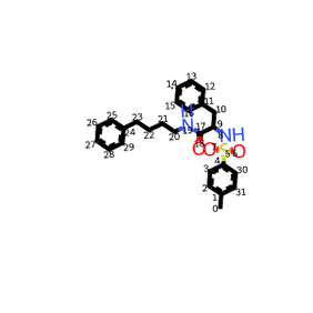 Cc1ccc(S(=O)(=O)NC(Cc2cc[c]cc2)C(=O)NCCCCc2ccccc2)cc1